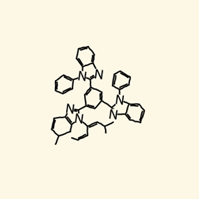 C/C=C\C(=C/C(C)C)n1c(-c2cc(-c3nc4ccccc4n3-c3ccccc3)cc(-c3nc4ccccc4n3-c3ccccc3)c2)nc2c1CC(C)C=C2